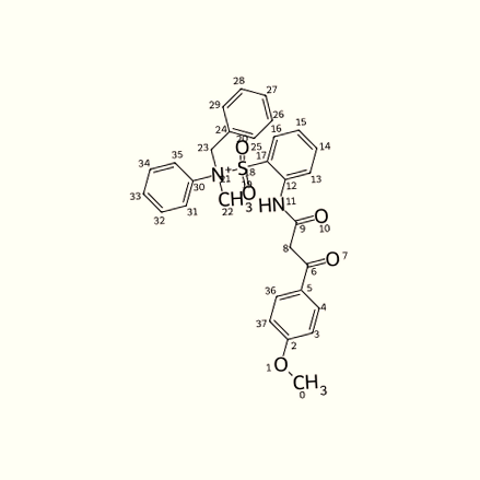 COc1ccc(C(=O)CC(=O)Nc2ccccc2S(=O)(=O)[N+](C)(Cc2ccccc2)c2ccccc2)cc1